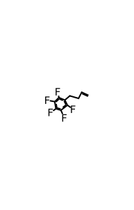 C=CCCc1c(F)c(F)c(F)c(F)c1F